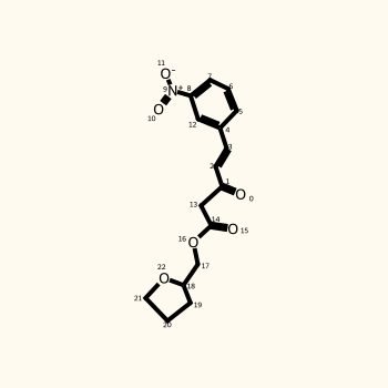 O=C(C=Cc1cccc([N+](=O)[O-])c1)CC(=O)OCC1CCCO1